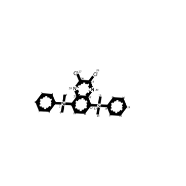 C[Si](C)(c1ccccc1)c1ccc([Si](C)(C)c2ccccc2)c2nc(Cl)c(Cl)nc12